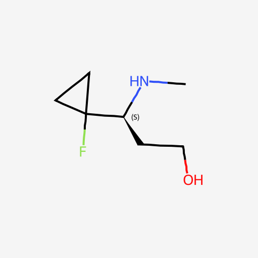 CN[C@@H](CCO)C1(F)CC1